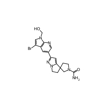 NC(=O)N1CCC2(CCn3nc(-c4cnc5c(c4)c(Br)cn5CO)cc32)C1